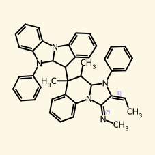 C/C=C1\C(=N/C)N2c3ccccc3C(C)(C3c4ccccc4N4c5ccccc5N(c5ccccc5)C34)C(C)C2N1c1ccccc1